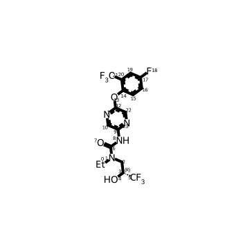 CCN(C[C@@H](O)C(F)(F)F)C(=O)Nc1cnc(Oc2ccc(F)cc2C(F)(F)F)cn1